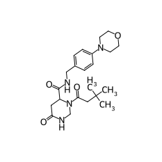 CC(C)(C)CC(=O)N1CNC(=O)CC1C(=O)NCc1ccc(N2CCOCC2)cc1